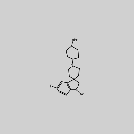 CCCC1CCC(N2CCC3(CC2)CN(C(C)=O)c2ccc(F)cc23)CC1